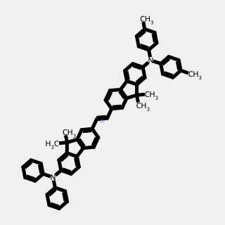 Cc1ccc(N(c2ccc(C)cc2)c2ccc3c(c2)C(C)(C)c2cc(/C=C/c4ccc5c(c4)C(C)(C)c4cc(N(c6ccccc6)c6ccccc6)ccc4-5)ccc2-3)cc1